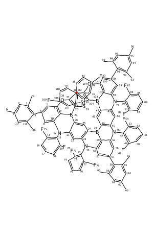 Cc1cc(C)c(-c2cc3c4c(c2)N(c2c(F)cccc2F)c2cc5c(cc2B4c2sc4cc(F)ccc4c2O3)B2c3cc4c(cc3N(c3c(F)cccc3F)c3cc(-c6c(C)cc(C)cc6C)cc(c32)N5c2c(F)cccc2F)N(c2c(F)cccc2F)c2cc(-c3c(C)cc(C)cc3C)cc3c2B4c2sc4cc(F)ccc4c2O3)c(C)c1